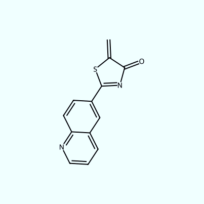 C=C1SC(c2ccc3ncccc3c2)=NC1=O